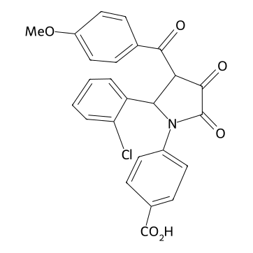 COc1ccc(C(=O)C2C(=O)C(=O)N(c3ccc(C(=O)O)cc3)C2c2ccccc2Cl)cc1